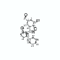 O=Cc1cc(F)c2onc(-n3c(-c4ccccc4)csc3=O)c2c1